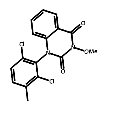 COn1c(=O)c2ccccc2n(-c2c(Cl)ccc(C)c2Cl)c1=O